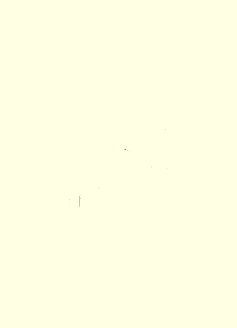 O=C[C@@H](Cc1ccc(Cl)cc1)C1CC1